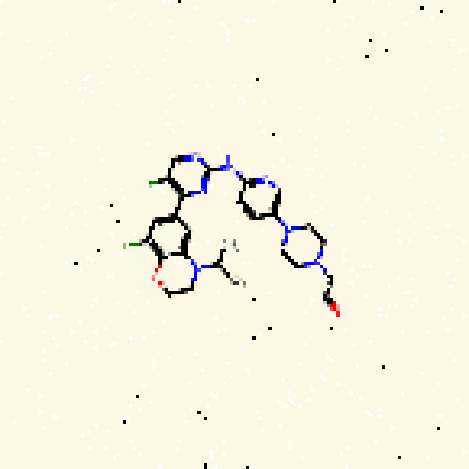 CC(C)N1CCOc2c(F)cc(-c3nc(Nc4ccc(N5CCN(CC=O)CC5)cn4)ncc3F)cc21